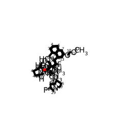 C#Cc1cccc2cc(OCOC)cc(-c3nc4c5c(nc(OC[C@]67CCCN6C[C@@H](F)C7)nc5c3F)N3C[C@@H]5CC[C@H]([C@H]3CO4)N5C(=O)OC(C)(C)C)c12